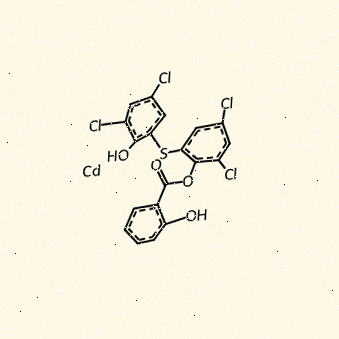 O=C(Oc1c(Cl)cc(Cl)cc1Sc1cc(Cl)cc(Cl)c1O)c1ccccc1O.[Cd]